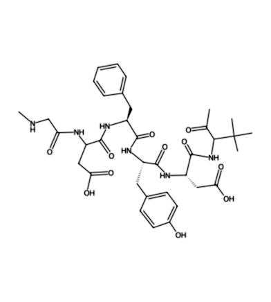 CNCC(=O)NC(CC(=O)O)C(=O)N[C@@H](Cc1ccccc1)C(=O)N[C@@H](Cc1ccc(O)cc1)C(=O)N[C@@H](CC(=O)O)C(=O)NC(C(C)=O)C(C)(C)C